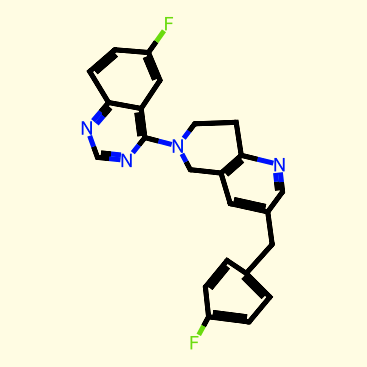 Fc1ccc(Cc2cnc3c(c2)CN(c2ncnc4ccc(F)cc24)CC3)cc1